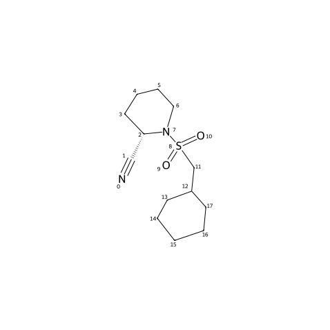 N#C[C@@H]1CCCCN1S(=O)(=O)CC1CCCCC1